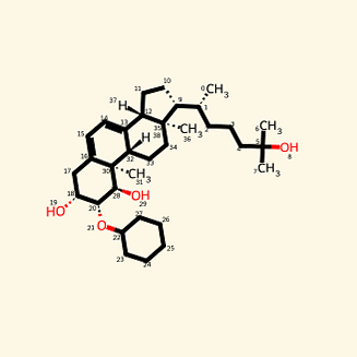 C[C@H](CCCC(C)(C)O)[C@H]1CC[C@H]2C3=CC=C4C[C@@H](O)[C@@H](OC5CCCCC5)[C@H](O)[C@]4(C)[C@H]3CC[C@]12C